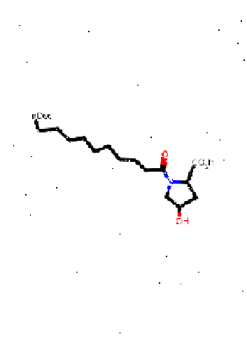 CCCCCCCCCCCCCCCCCCCC(=O)N1CC(O)CC1C(=O)O